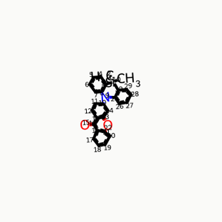 C[Si]1(C)c2ccccc2N(c2ccc3c(=O)c4ccccc4oc3c2)c2ccccc21